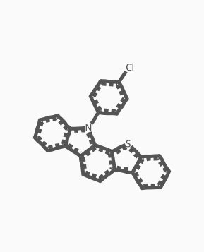 Clc1ccc(-n2c3ccccc3c3ccc4c5ccccc5sc4c32)cc1